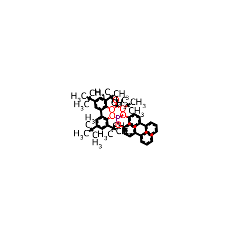 CC(C)(C)OC(=O)Oc1c(-c2cc(C(C)(C)C)cc(C(C)(C)C)c2OP(Oc2ccc(-c3ccccc3)cc2)Oc2ccc(-c3ccccc3)cc2)cc(C(C)(C)C)cc1C(C)(C)C